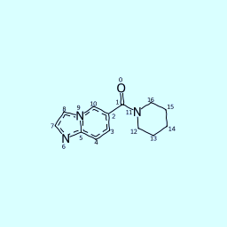 O=C(c1ccc2nccn2c1)N1CCCCC1